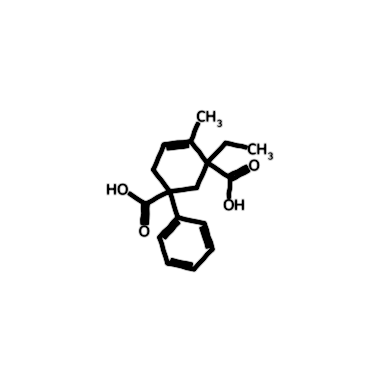 CCC1(C(=O)O)CC(C(=O)O)(c2ccccc2)CC=C1C